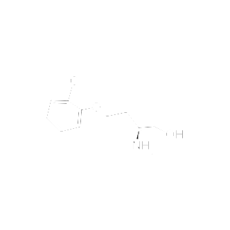 N[C@H](CO)CCOc1ccccc1Cl